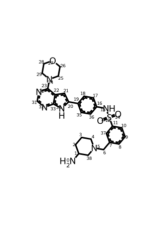 NC1CCCN(Cc2cccc(S(=O)(=O)Nc3ccc(-c4cc5c(N6CCOCC6)ncnc5[nH]4)cc3)c2)C1